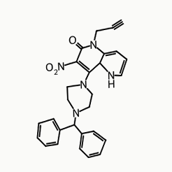 C#CCN1C(=O)C([N+](=O)[O-])=C(N2CCN(C(c3ccccc3)c3ccccc3)CC2)C2NC=CC=C21